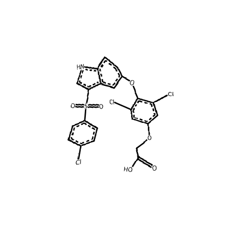 O=C(O)COc1cc(Cl)c(Oc2ccc3[nH]cc(S(=O)(=O)c4ccc(Cl)cc4)c3c2)c(Cl)c1